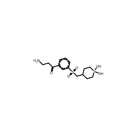 NCCC(=O)c1cccc(S(=O)(=O)CC2CCS(O)(O)CC2)c1